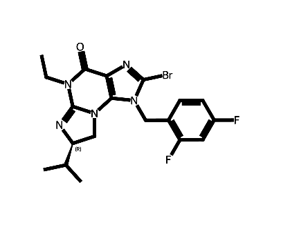 CCN1C(=O)c2nc(Br)n(Cc3ccc(F)cc3F)c2N2C[C@@H](C(C)C)N=C12